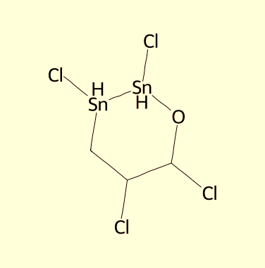 ClC1[CH2][SnH]([Cl])[SnH]([Cl])[O]C1Cl